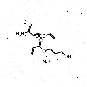 C=CC(=O)OCCCO.C=CC(=O)[O-].C=CC(N)=O.[Na+]